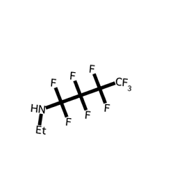 CCNC(F)(F)C(F)(F)C(F)(F)C(F)(F)F